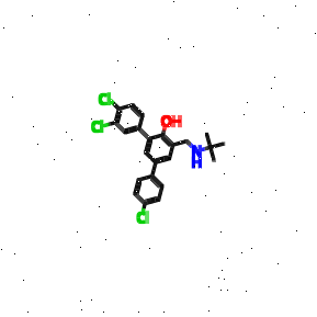 CC(C)(C)NCc1cc(-c2ccc(Cl)cc2)cc(-c2ccc(Cl)c(Cl)c2)c1O